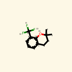 CC1(C)CCc2cccc(C(F)(F)F)c2O1